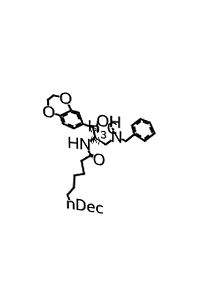 CCCCCCCCCCCCCCCC(=O)N[C@H](CN(C)Cc1ccccc1)[C@@H](O)c1ccc2c(c1)OCCO2